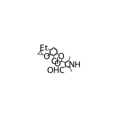 CCc1ccc(OC(=O)c2c(C)[nH]c(C)c2C=O)c(Cl)c1OC1CC1